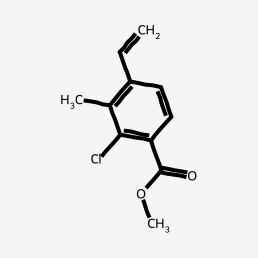 C=Cc1ccc(C(=O)OC)c(Cl)c1C